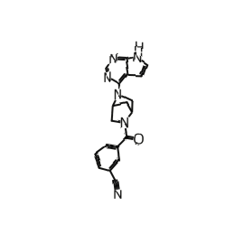 N#Cc1cccc(C(=O)N2CC3CC2CN3c2ncnc3[nH]ccc23)c1